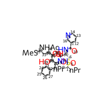 CCCC(CCC)S(=O)(=O)C[C@@H](NC(=O)c1cccnc1)C(=O)N[C@@H](Cc1ccccc1)[C@@H](O)[C@H](O)[C@@H](CCSC)NC(C)=O